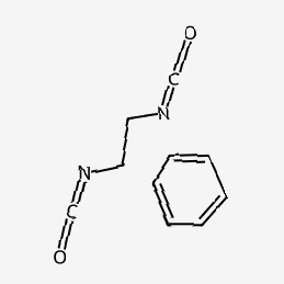 O=C=NCCN=C=O.c1ccccc1